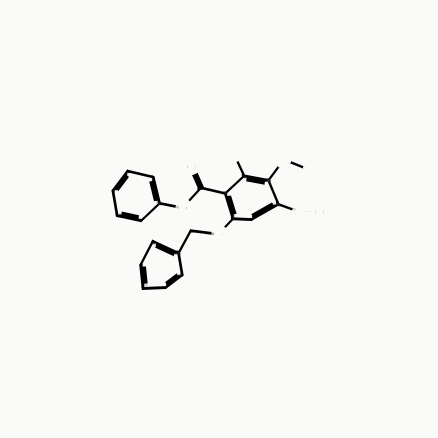 Cc1c(OC(C)C)c(C=O)cc(OCc2ccccc2)c1C(=O)Oc1ccccc1